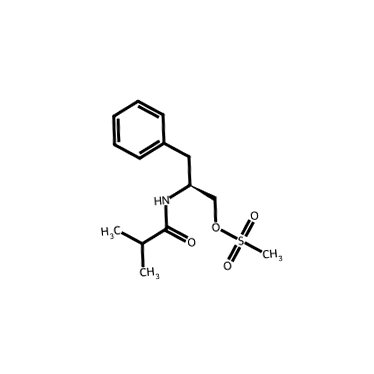 CC(C)C(=O)N[C@H](COS(C)(=O)=O)Cc1ccccc1